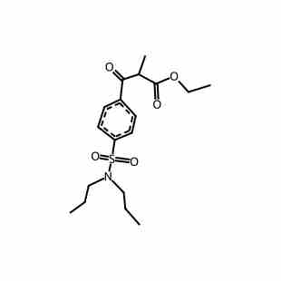 CCCN(CCC)S(=O)(=O)c1ccc(C(=O)C(C)C(=O)OCC)cc1